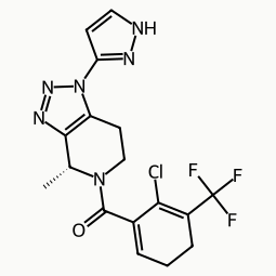 C[C@@H]1c2nnn(-c3cc[nH]n3)c2CCN1C(=O)C1=CCCC(C(F)(F)F)=C1Cl